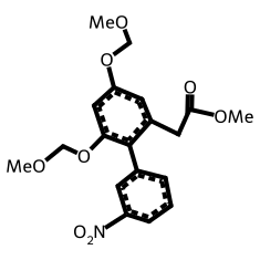 COCOc1cc(CC(=O)OC)c(-c2cccc([N+](=O)[O-])c2)c(OCOC)c1